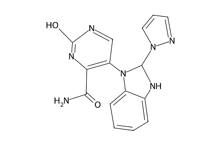 NC(=O)c1nc(O)ncc1N1c2ccccc2NC1n1cccn1